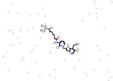 CC(C)Cc1c(Cl)cnc2cc(Cn3cccc(NC(=O)CCC/C=C/C(=O)N(C)C)c3=O)[nH]c12